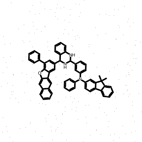 CC1(C)c2ccccc2-c2ccc(N(c3ccccc3)c3cccc(C4Nc5ccccc5C(c5cc(-c6ccccc6)c6oc7cc8ccccc8cc7c6c5)N4)c3)cc21